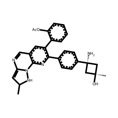 CC(=O)Oc1ccccc1-c1cc2c(nc1-c1ccc([C@]3(N)C[C@](C)(O)C3)cc1)N1NC(C)C=C1N=C2